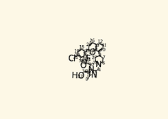 Cc1nc(CN2CCC(c3cccc4c3OC(c3ccc(Cl)cc3F)C=C4)CC2)n(CC2CCO2)c1CO